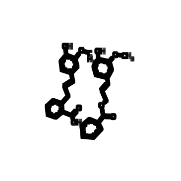 COc1cc(/C=C/COC(=O)c2ccccc2)ccc1O.COc1cc(/C=C/Cc2ccccc2C(=O)O)ccc1O